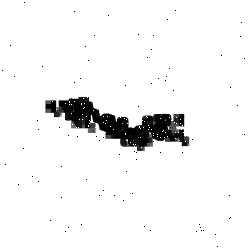 Nc1ccc(C(=O)NCCC[C@H](NC(=O)c2ccc(CCc3cnc4nc(N)nc(N)c4n3)cc2)C(=O)O)c(S(=O)(=O)O)c1